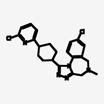 CN1Cc2cc(Cl)ccc2-n2c(nnc2C2CCC(c3cccc(Cl)n3)CC2)C1